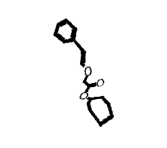 O=C(COC=Cc1ccccc1)OC1CCCCC1